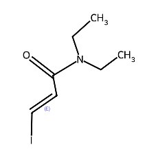 CCN(CC)C(=O)/C=C/I